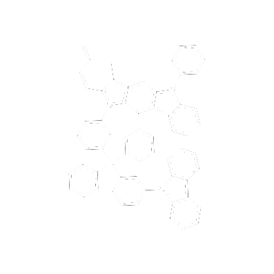 C=C/C=C\c1c(C)c2cc3c(cc2n1-c1cccc([Si](c2ccccc2)(c2ccccc2)c2cccc(-n4c5ccccc5c5ccccc54)c2)c1)c1ccccc1n3-c1ccccc1